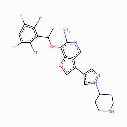 CC(Oc1c(N)ncc2c(-c3cnn(C4CCNCC4)c3)coc12)c1c(Cl)c(F)cc(F)c1Cl